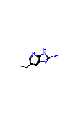 CCc1cnc2[nH]c(N)nc2c1